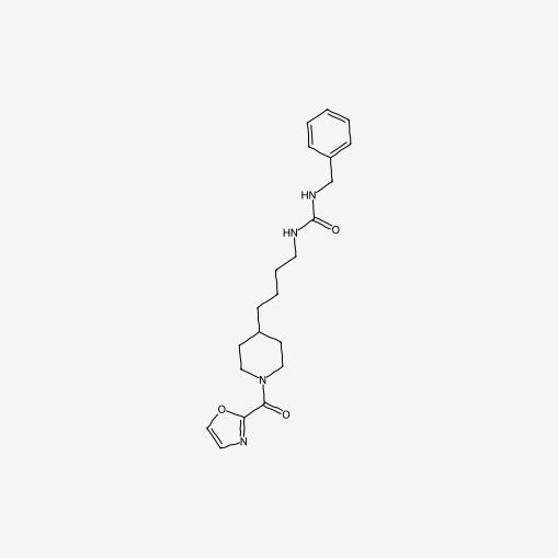 O=C(NCCCCC1CCN(C(=O)c2ncco2)CC1)NCc1ccccc1